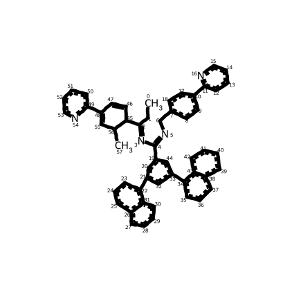 CC/C(=N\C(=N/Cc1ccc(-c2ccccn2)cc1)c1cc(-c2cccc3ccccc23)cc(-c2cccc3ccccc23)c1)C1C=CC(c2ccccn2)=CC1C